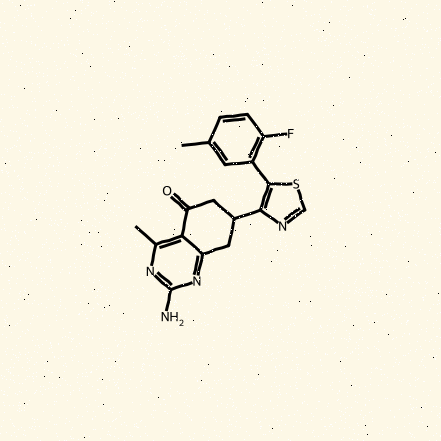 Cc1ccc(F)c(-c2scnc2C2CC(=O)c3c(C)nc(N)nc3C2)c1